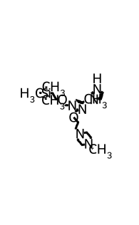 Cc1cn(COCC[Si](C)(C)C)c(OCCN2CCN(C)CC2)n1.c1c[nH]cn1